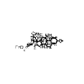 CCOC(=O)OCC(=O)[C@@]1(OC(=O)OC)[C@H](C)C[C@H]2[C@@H]3CCC4=CC(=O)C=C[C@]4(C)[C@@]3(F)[C@@H](O)C[C@@]21C